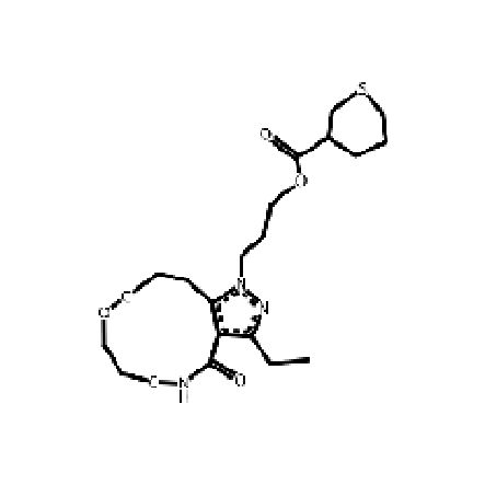 CCc1nn(CCCOC(=O)C2CCCSC2)c2c1C(=O)NCCCOCCC2